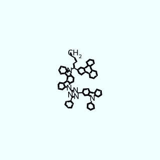 C=C/C=C\C=C(/c1ccc2c3ccccc3c3ccccc3c2c1)n1c2ccccc2c2c3c4ccccc4n(-c4nc(-c5ccccc5)nc(-c5ccc6c7ccccc7n(-c7ccccc7)c6c5)n4)c3ccc21